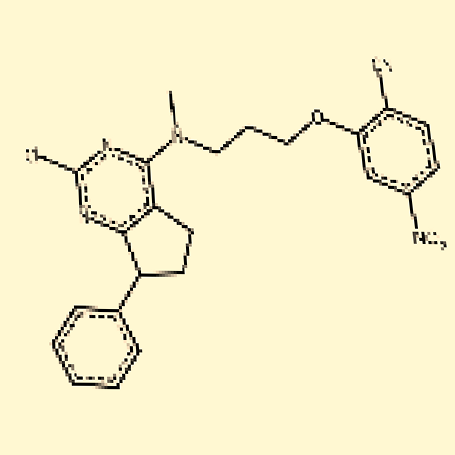 CN(CCCOc1cc([N+](=O)[O-])ccc1C#N)c1nc(Cl)nc2c1CCC2c1ccccc1